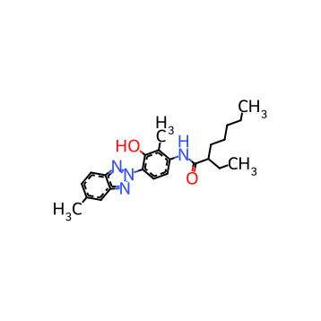 CCCCCC(CC)C(=O)Nc1ccc(-n2nc3ccc(C)cc3n2)c(O)c1C